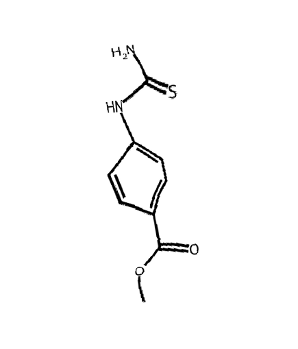 COC(=O)c1ccc(NC(N)=S)cc1